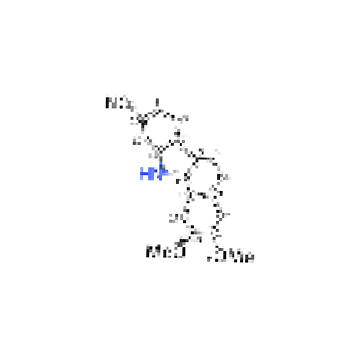 COc1cc2ccc3c4ccc(C#N)cc4[nH]c3c2cc1OC